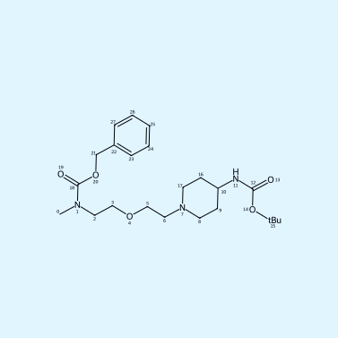 CN(CCOCCN1CCC(NC(=O)OC(C)(C)C)CC1)C(=O)OCc1ccccc1